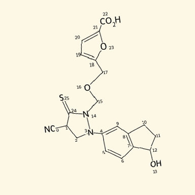 N#CC1CN(c2ccc3c(c2)CCC3O)N(COCc2ccc(C(=O)O)o2)C1=S